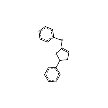 C1=C(Nc2ccccc2)SC(c2ccccc2)C1